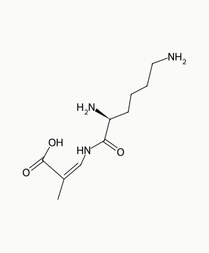 CC(=CNC(=O)[C@@H](N)CCCCN)C(=O)O